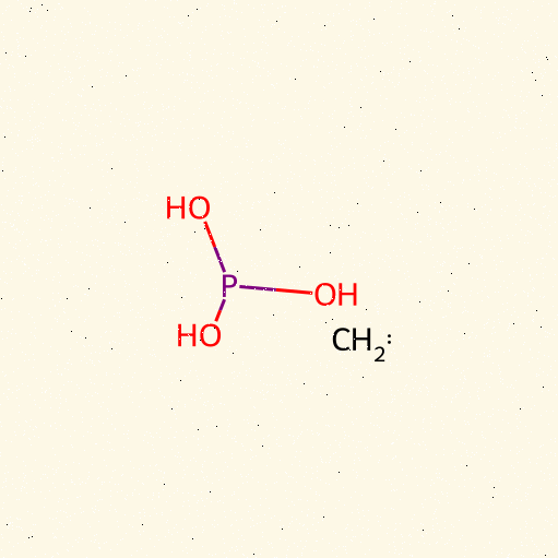 OP(O)O.[CH2]